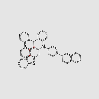 c1ccc(N(c2ccc(-c3ccc4ccccc4c3)cc2)c2ccc3c(c2)sc2ccccc23)c(-c2cc3ccccc3c3ccccc23)c1